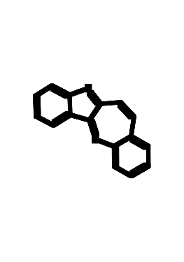 c1ccc2nc3c4ccccc4nc-3ccc2c1